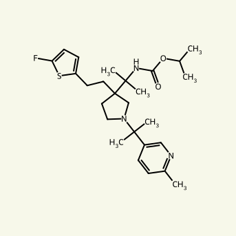 Cc1ccc(C(C)(C)N2CCC(CCc3ccc(F)s3)(C(C)(C)NC(=O)OC(C)C)C2)cn1